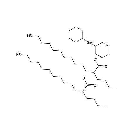 C1CC[CH]([Sn+2][CH]2CCCCC2)CC1.CCCCC(CCCCCCCCCCS)C(=O)[O-].CCCCC(CCCCCCCCCCS)C(=O)[O-]